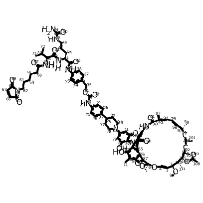 CO[C@H]1/C=C/O[C@@]2(C)Oc3c(C)c(O)c4c(=O)c(c5oc6cc(N7CCC(c8ccc(NC(=O)OCc9ccc(NC(=O)[C@H](CCCNC(N)=O)NC(=O)[C@@H](NC(=O)CCCCCN%10C(=O)C=CC%10=O)C(C)C)cc9)cc8)CC7)cc(O)c6nc-5c4c3C2=O)NC(=O)/C(C)=C\C=C\[C@H](C)C[C@@H](C)C[C@@H](C)[C@H](OC(C)=O)[C@@H]1C